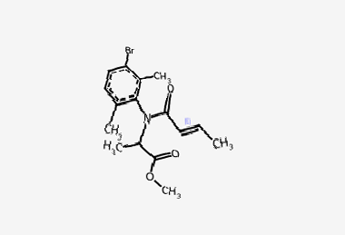 C/C=C/C(=O)N(c1c(C)ccc(Br)c1C)C(C)C(=O)OC